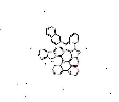 c1ccc(-c2ccccc2N(c2cccc3c2oc2ccccc23)c2cccc3oc4c5ccccc5c(-c5ccc6ccccc6c5)cc4c23)cc1